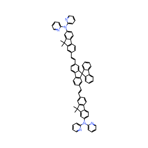 CC1(C)c2cc(/C=C/c3ccc4c(c3)C3(c5ccccc5-c5ccccc53)c3cc(/C=C/c5ccc6c(c5)C(C)(C)c5cc(N(c7ccccn7)c7ccccn7)ccc5-6)ccc3-4)ccc2-c2ccc(N(c3ccccn3)c3ccccn3)cc21